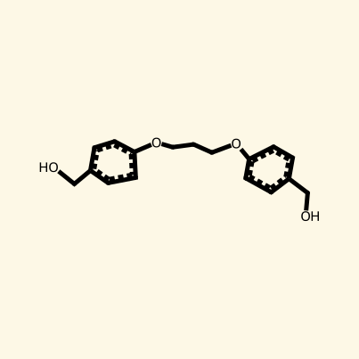 OCc1ccc(OCCCOc2ccc(CO)cc2)cc1